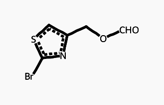 O=COCc1csc(Br)n1